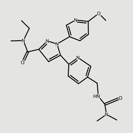 CCN(C)C(=O)c1cc(-c2ccc(CNC(=O)N(C)C)cn2)n(-c2ccc(OC)nc2)n1